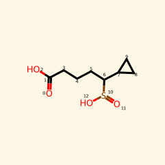 O=C(O)CCCC(C1CC1)S(=O)O